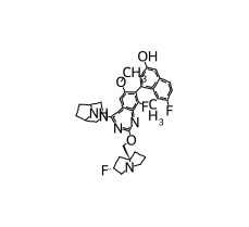 COc1cc2c(N3CC4CCC(C3)N4)nc(OC[C@@]34CCCN3C[C@H](F)C4)nc2c(F)c1-c1cc(O)cc2ccc(F)c(C)c12